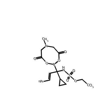 CCC/C=C/C(NS(=O)(=O)OCC(Cl)(Cl)Cl)(B1OC(=O)CN(C)CC(=O)O1)C1CC1